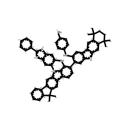 CC(C)(C)c1ccc(Nc2cc3c(cc2-c2ccc4c5cc6c(cc5n5c4c2Bc2cc4nc(-c7ccccc7)oc4cc2-5)-c2ccccc2C6(C)C)oc2cc4c(cc23)C(C)(C)CCC4(C)C)cc1